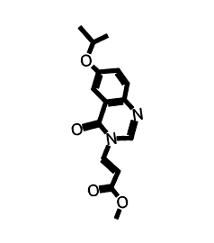 COC(=O)/C=C/n1cnc2ccc(OC(C)C)cc2c1=O